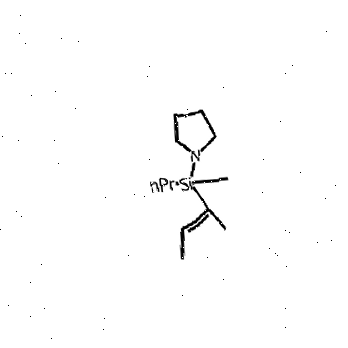 CC=C(C)[Si](C)(CCC)N1CCCC1